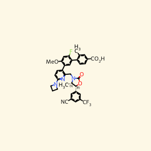 COc1cc(F)c(-c2ccc(C(=O)O)cc2C)cc1-c1ccc(N2CCC2)nc1CN1C(=O)O[C@H](c2cc(C#N)cc(C(F)(F)F)c2)[C@@H]1C